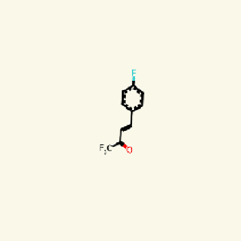 O=C(C=Cc1ccc(F)cc1)C(F)(F)F